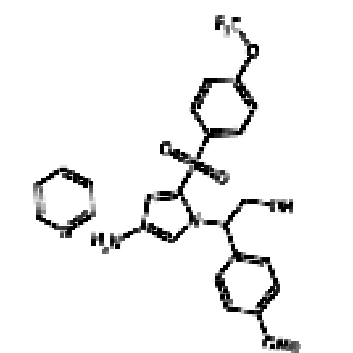 COc1ccc(C(CO)n2cc(N)cc2S(=O)(=O)c2ccc(OC(F)(F)F)cc2)cc1.c1ccncc1